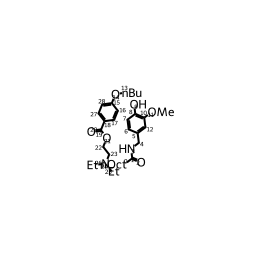 CCCCCCCCC(=O)NCc1ccc(O)c(OC)c1.CCCCOc1ccc(C(=O)OCCN(CC)CC)cc1